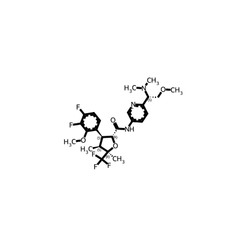 COC[C@H](c1ccc(NC(=O)[C@@H]2O[C@@](C)(C(F)(F)F)[C@@H](C)[C@H]2c2ccc(F)c(F)c2OC)cn1)N(C)C